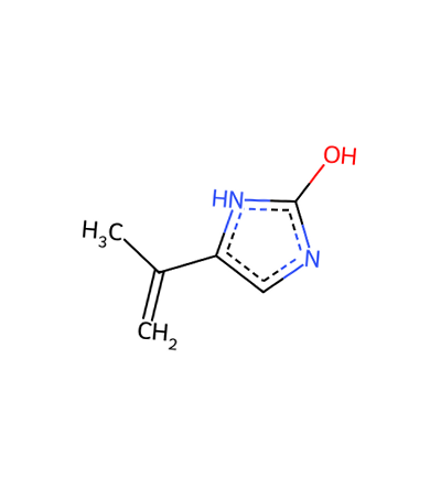 C=C(C)c1cnc(O)[nH]1